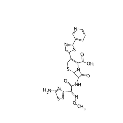 CON=C(C(=O)NC1C(=O)N2C(C(=O)O)=C(c3cnc(-c4cccnc4)s3)CSC12)c1csc(N)n1